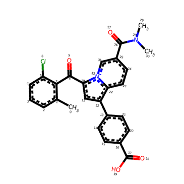 Cc1cccc(Cl)c1C(=O)c1cc(-c2ccc(C(=O)O)cc2)c2ccc(C(=O)N(C)C)cn12